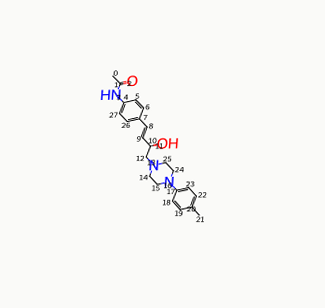 CC(=O)Nc1ccc(/C=C/[C@@H](O)CN2CCN(c3ccc(C)cc3)CC2)cc1